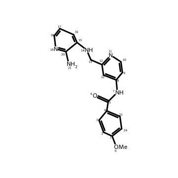 COc1ccc(C(=O)Nc2ccnc(CNc3cccnc3N)c2)cc1